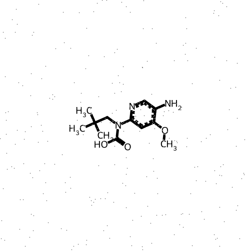 COc1cc(N(CC(C)(C)C)C(=O)O)ncc1N